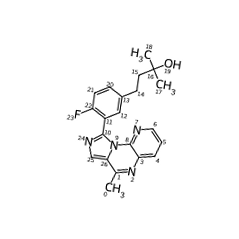 Cc1nc2cccnc2n2c(-c3cc(CCC(C)(C)O)ccc3F)ncc12